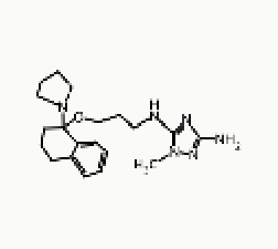 Cn1nc(N)nc1NCCCOC1(N2CCCC2)CCCc2ccccc21